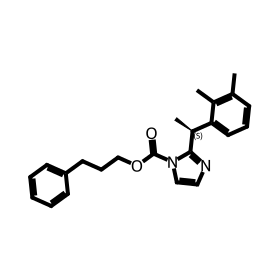 Cc1cccc([C@H](C)c2nccn2C(=O)OCCCc2ccccc2)c1C